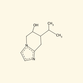 CC(C)C1Cc2nccn2CC1O